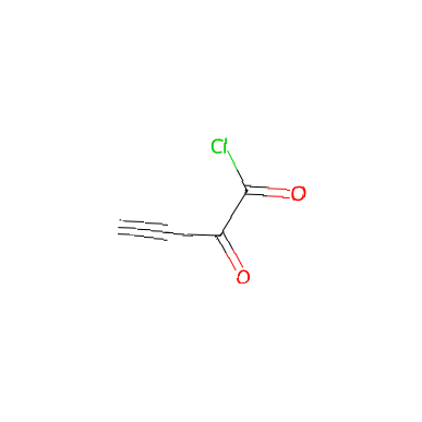 C#CC(=O)C(=O)Cl